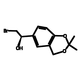 CC1(C)OCc2cc([C@@H](O)CBr)ccc2O1